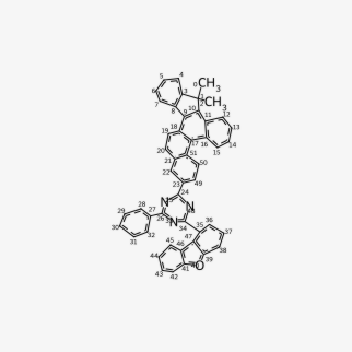 CC1(C)c2ccccc2-c2c1c1ccccc1c1c2ccc2cc(-c3nc(-c4ccccc4)nc(-c4cccc5oc6ccccc6c45)n3)ccc21